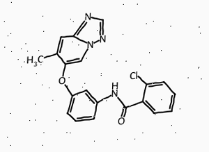 Cc1cc2ncnn2cc1Oc1cccc(NC(=O)c2ccccc2Cl)c1